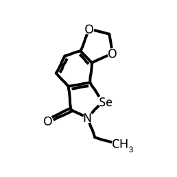 CCn1[se]c2c3c(ccc2c1=O)OCO3